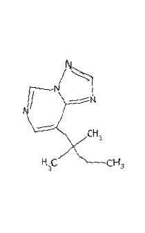 CCC(C)(C)c1cncn2ncnc12